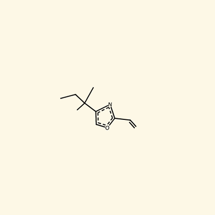 C=Cc1nc(C(C)(C)CC)co1